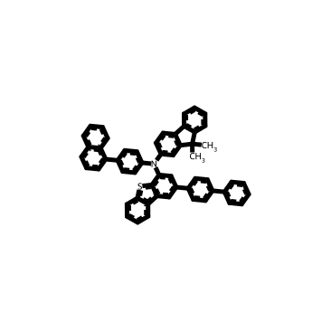 CC1(C)c2ccccc2-c2ccc(N(c3ccc(-c4cccc5ccccc45)cc3)c3cc(-c4ccc(-c5ccccc5)cc4)cc4c3sc3ccccc34)cc21